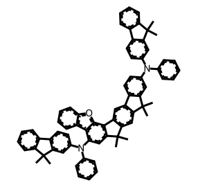 CC1(C)c2ccccc2-c2ccc(N(c3ccccc3)c3ccc4c(c3)C(C)(C)c3cc5c(cc3-4)-c3c(cc(N(c4ccccc4)c4ccc6c(c4)C(C)(C)c4ccccc4-6)c4c3oc3ccccc34)C5(C)C)cc21